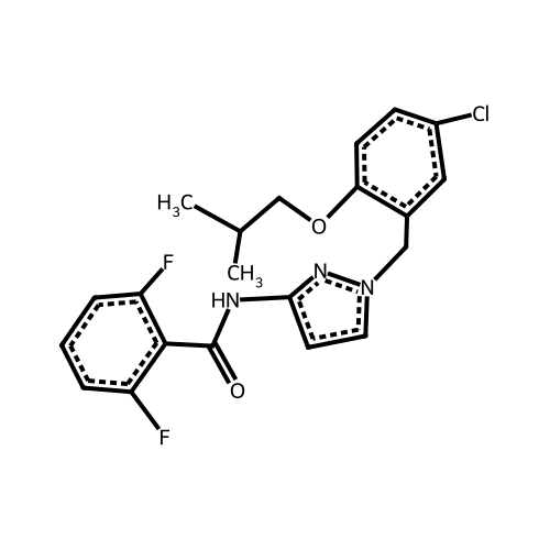 CC(C)COc1ccc(Cl)cc1Cn1ccc(NC(=O)c2c(F)cccc2F)n1